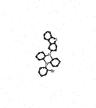 Brc1ccccc1N1c2ccccc2N(c2ccc3sc4ccccc4c3c2)c2ccccc21